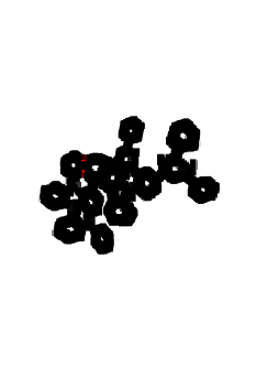 c1ccc(-c2cc(-c3ccc(-n4c5ccccc5c5ccccc54)c(-c4nc(-c5ccccc5)cc(-c5cccc(-c6ccc7c8c6N(c6ccccc6)c6ccccc6B8c6ccccc6N7c6ccccc6)c5)n4)c3)nc(-c3ccccc3)n2)cc1